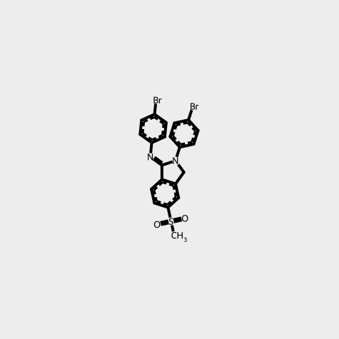 CS(=O)(=O)c1ccc2c(c1)CN(c1ccc(Br)cc1)/C2=N\c1ccc(Br)cc1